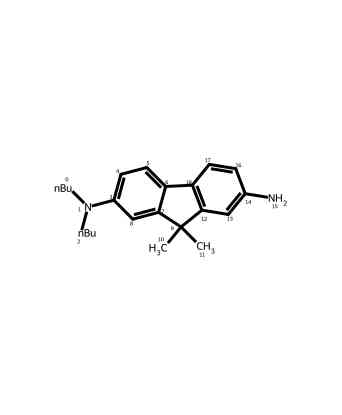 CCCCN(CCCC)c1ccc2c(c1)C(C)(C)c1cc(N)ccc1-2